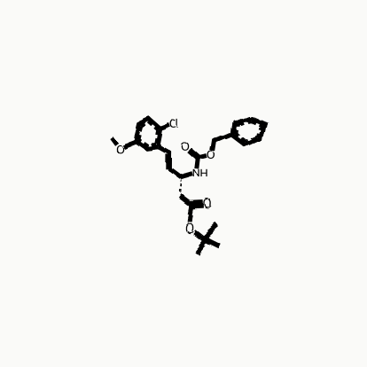 COc1ccc(Cl)c(C=C[C@@H](CC(=O)OC(C)(C)C)NC(=O)OCc2ccccc2)c1